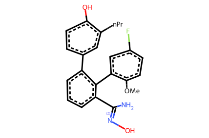 CCCc1cc(-c2cccc(/C(N)=N/O)c2-c2cc(F)ccc2OC)ccc1O